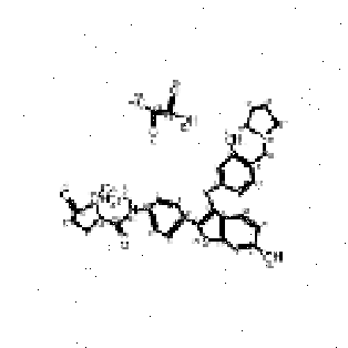 Cc1cc(Cc2c(-c3ccc(N(C)C(=O)C4CCC(=O)N4C)cc3)sc3cc(O)ccc23)ccc1CN1CCCC1.O=C(O)C(=O)O